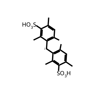 Cc1cc(C)c(S(=O)(=O)O)c(C)c1[C]c1c(C)cc(C)c(S(=O)(=O)O)c1C